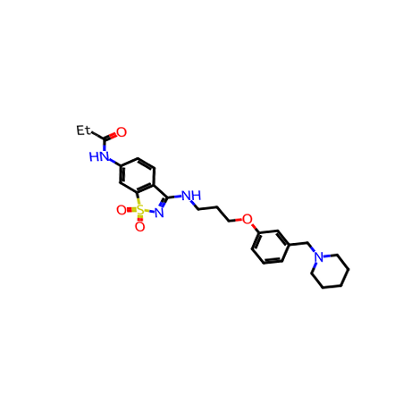 CCC(=O)Nc1ccc2c(c1)S(=O)(=O)N=C2NCCCOc1cccc(CN2CCCCC2)c1